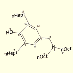 CCCCCCCCN(CCCCCCCC)Cc1cc(CCCCCCC)c(O)c(CCCCCCC)c1